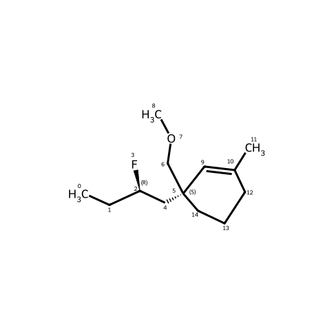 CC[C@@H](F)C[C@]1(COC)C=C(C)CCC1